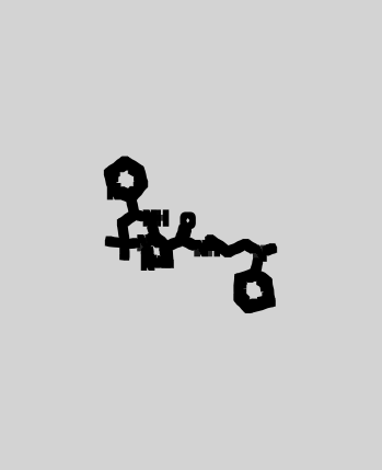 CN(CCCNC(=O)c1cnn2c1NC(c1ccccn1)CC2(C)C)c1ccccc1